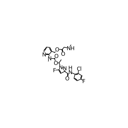 CNCC(=O)OCc1cccnc1N(C)C(=O)OC(C)n1nc(C(=O)Nc2ccc(F)cc2Cl)cc1F